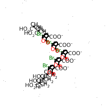 C=C(C)C(=O)O.C=C(C)C(=O)O.C=C(C)C(=O)O.C=C(C)C(=O)O.C=C(C)C(=O)O.O=C([O-])C1C2CC3C(OC(=O)C31)C2Br.O=C([O-])C1C2CC3C(OC(=O)C31)C2Br.O=C([O-])C1C2CC3C(OC(=O)C31)C2Br.O=C([O-])C1C2CC3C(OC(=O)C31)C2Br.O=C([O-])C1C2CC3C(OC(=O)C31)C2Br.[Ta+5]